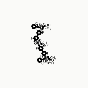 CC(C)(O)c1cn(-c2ccc(-c3cc(F)c(CO)c(S(=O)(=O)OCc4c(F)cc(-c5ccc(-n6cc(C(C)(C)O)nc6C(C)(C)c6c(F)cccc6Cl)c(F)c5)cc4S(C)(=O)=O)c3)cc2F)c(C(C)(C)c2ccccc2Cl)n1